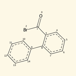 O=C(Br)c1ccccc1-c1ccccc1